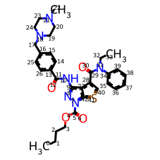 CCCCOC(=O)n1nc(NC(=O)c2ccc(CN3CCN(C)CC3)cc2)c2c(C(=O)N(CC)c3ccccc3)csc21